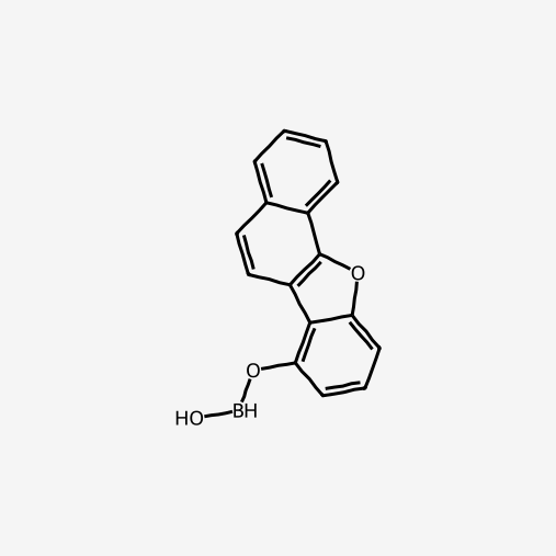 OBOc1cccc2oc3c4ccccc4ccc3c12